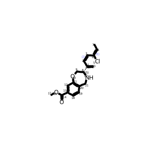 C=C(/C=C\C(Cl)=C/C)[C@H]1COc2cc(C(=O)OC)ccc2CN1